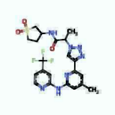 Cc1cc(Nc2cc(C(F)(F)F)ccn2)nc(-c2cn(C(C)C(=O)NC3CCS(=O)(=O)C3)nn2)c1